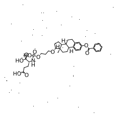 C[C@]12CC[C@@H]3c4ccc(OC(=O)c5ccccc5)cc4CC[C@H]3[C@@H]1CCC2OCCCOP(=O)(O)N[C@@H](CCC(=O)O)C(=O)O